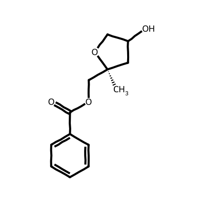 C[C@@]1(COC(=O)c2ccccc2)CC(O)CO1